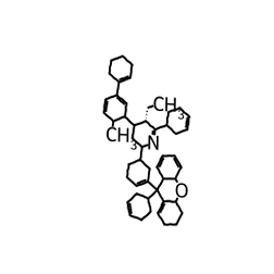 CC[C@@H]1C(C2CC=CCC2)=NC(C2CCC=C(C3(C4CC=CCC4)C4=CCCCC4OC4C=CC=CC43)C2)CC1C1C=C(C2=CCCCC2)C=CC1C